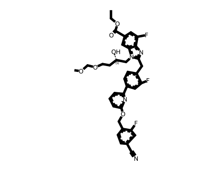 CCOC(=O)c1cc(F)c2nc(Cc3ccc(-c4cccc(OCc5ccc(C#N)cc5F)n4)cc3F)n(C[C@@H](O)CCOCOC)c2c1